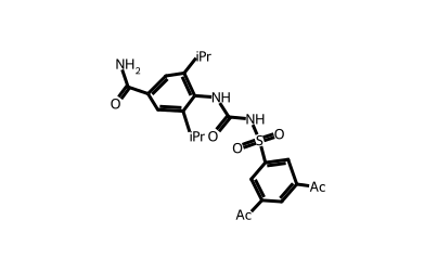 CC(=O)c1cc(C(C)=O)cc(S(=O)(=O)NC(=O)Nc2c(C(C)C)cc(C(N)=O)cc2C(C)C)c1